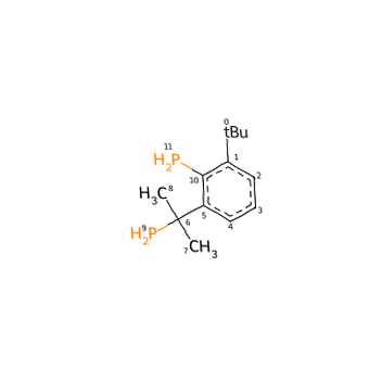 CC(C)(C)c1cccc(C(C)(C)P)c1P